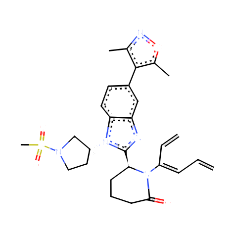 C=C/C=C(\C=C)N1C(=O)CCC[C@H]1c1nc2cc(-c3c(C)noc3C)ccc2n1[C@@H]1CCN(S(C)(=O)=O)C1